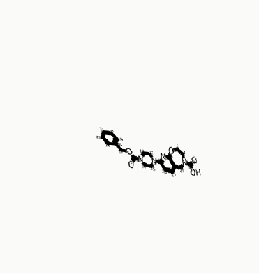 O=C(O)N1CCOc2nc(N3CCN(C(=O)OCc4ccccc4)CC3)ccc2C1